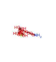 NCCOCCOCCOCCOCCOCCOC1c2c(O)cc(O)cc2OC(c2cc(O)c(O)c(O)c2)C1OC(=O)c1ccc(O)c(F)c1